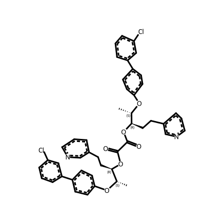 C[C@H](Oc1ccc(-c2cccc(Cl)c2)cc1)[C@@H](CCc1cccnc1)OC(=O)C(=O)O[C@H](CCc1cccnc1)[C@H](C)Oc1ccc(-c2cccc(Cl)c2)cc1